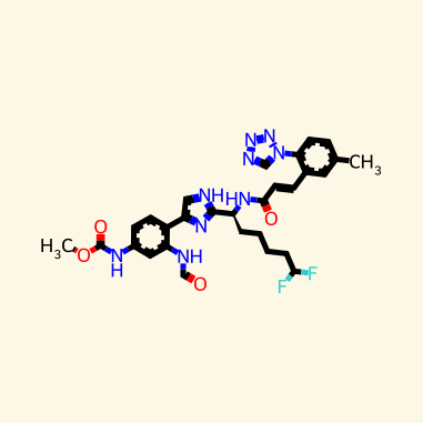 COC(=O)Nc1ccc(-c2c[nH]c([C@H](CCCCC(F)F)NC(=O)/C=C/c3cc(C)ccc3-n3cnnn3)n2)c(NC=O)c1